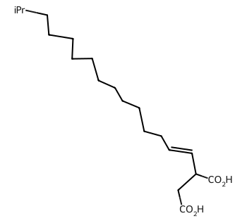 CC(C)CCCCCCCCCCCC=CC(CC(=O)O)C(=O)O